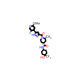 COc1cc(-c2cc(C(=O)N3CC[C@@H](C(=O)NC4CCC(O)(C(F)(F)F)CC4)C[C@H]3C)n[nH]2)c(F)cn1